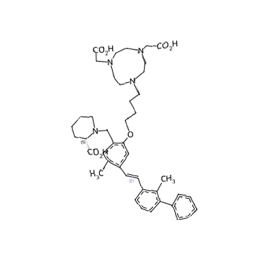 Cc1cc(CN2CCCC[C@H]2C(=O)O)c(OCCCCN2CCN(CC(=O)O)CCN(CC(=O)O)CC2)cc1/C=C/c1cccc(-c2ccccc2)c1C